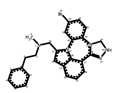 CN(CCc1ccccc1)Cc1cc2cccc3c4n(c5ccc(Br)cc5n1c23)CNN=4